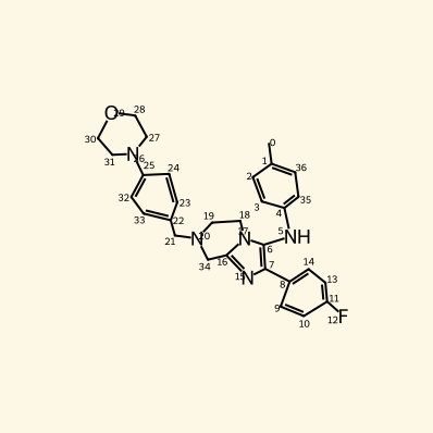 Cc1ccc(Nc2c(-c3ccc(F)cc3)nc3n2CCN(Cc2ccc(N4CCOCC4)cc2)C3)cc1